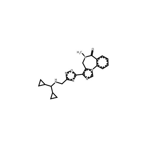 CN1Cc2c(-c3nc(CNC(C4CC4)C4CC4)no3)ncn2-c2ccccc2C1=O